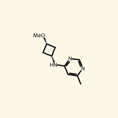 CO[C@H]1C[C@@H](Nc2cc(C)ncn2)C1